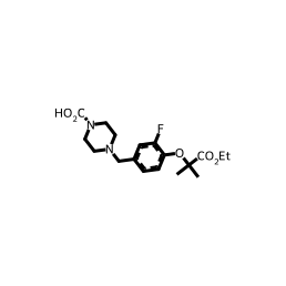 CCOC(=O)C(C)(C)Oc1ccc(CN2CCN(C(=O)O)CC2)cc1F